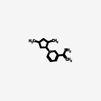 C=C(N)C1=CC=CN(C2CC(C)CC2C)C1